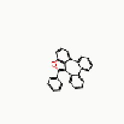 c1ccc(-c2oc3cccc4c3c2-c2ccccc2-c2ccccc2-4)cc1